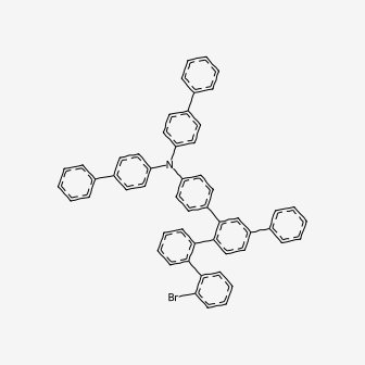 Brc1ccccc1-c1ccccc1-c1ccc(-c2ccccc2)cc1-c1ccc(N(c2ccc(-c3ccccc3)cc2)c2ccc(-c3ccccc3)cc2)cc1